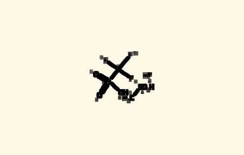 CS(=O)(=O)O.F.O=S(=O)(O)C(F)(F)F